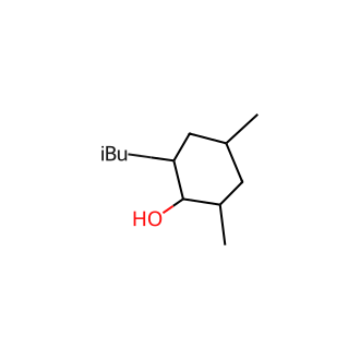 CCC(C)C1CC(C)CC(C)C1O